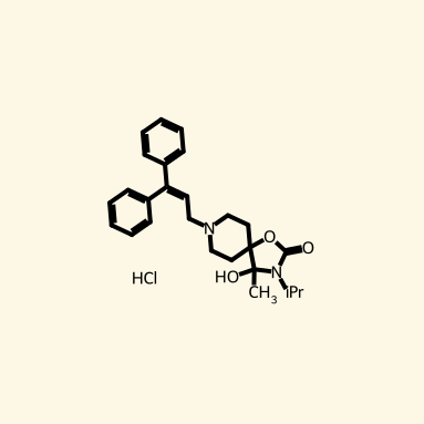 CC(C)N1C(=O)OC2(CCN(CC=C(c3ccccc3)c3ccccc3)CC2)C1(C)O.Cl